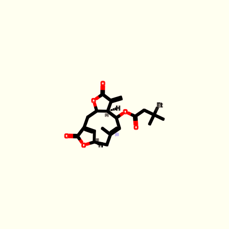 C=C1C(=O)OC2CC3=C[C@@H](C/C(C)=C/C(OC(=O)CC(C)(C)CC)[C@H]12)OC3=O